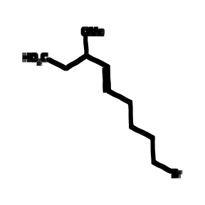 COC(/C=C/CCCCBr)CC(=O)O